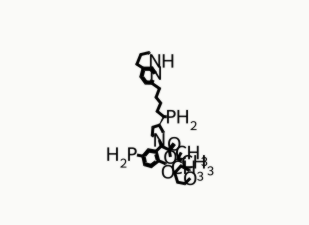 CC(C)(C)OC(=O)C(c1cc(P)ccc1COC1CCOCC1)N1CC[C@@H](C(P)CCCCc2ccc3c(n2)NCCC3)C1